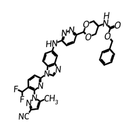 Cc1cc(C#N)nn1-c1nc(-n2cnc3cc(Nc4ccc(C5OCC(NC(=O)OCc6ccccc6)CO5)nn4)ccc32)ccc1C(F)F